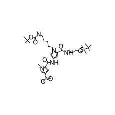 CN(CCCCCn1cc(NC(=O)c2cc([N+](=O)[O-])cn2C)cc1C(=O)NCCCO[Si](C)(C)C(C)(C)C)C(=O)OC(C)(C)C